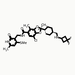 CSc1cc(C)[nH]c(=O)c1CNC(=O)c1cc(Cl)c2c(c1C)O[C@@](C)([C@H]1CC[C@H](CNC3CC(F)(F)C3)CC1)O2